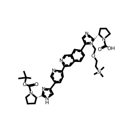 CC(C)(C)OC(=O)N1CCC[C@H]1c1nc(-c2ccc(-c3cc4ccc(-c5cnc([C@@H]6CCCN6C(=O)O)n5COCC[Si](C)(C)C)cc4cn3)nc2)c[nH]1